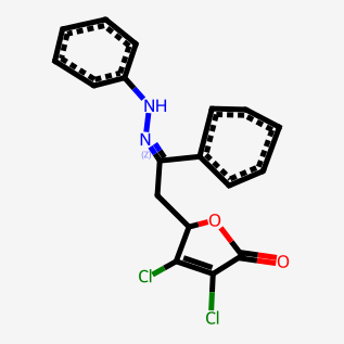 O=C1OC(C/C(=N/Nc2ccccc2)c2ccccc2)C(Cl)=C1Cl